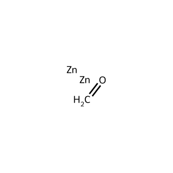 C=O.[Zn].[Zn]